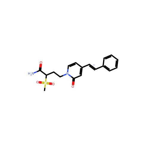 CS(=O)(=O)C(CCn1ccc(/C=C/c2ccccc2)cc1=O)C(N)=O